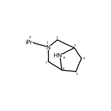 CC(C)N1CC2CCC(C1)N2